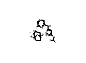 FC(F)Oc1cc(Nc2cncc(O[C@@H]3C[C@@H]4CC[C@@H](N4)[C@@H]3F)n2)n[nH]1